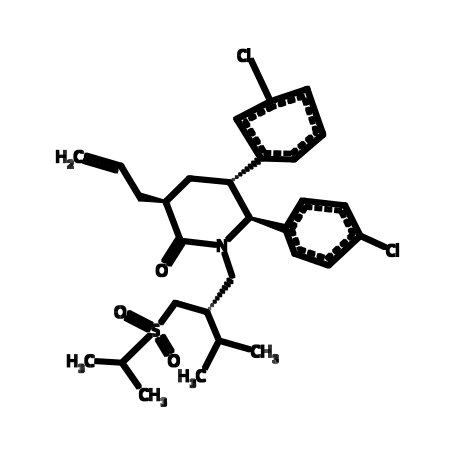 C=CC[C@H]1C[C@H](c2cccc(Cl)c2)[C@@H](c2ccc(Cl)cc2)N(C[C@@H](CS(=O)(=O)C(C)C)C(C)C)C1=O